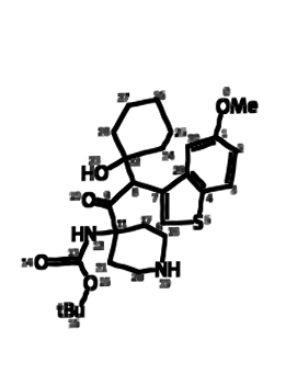 COc1ccc2scc(C(C(=O)C3(NC(=O)OC(C)(C)C)CCNCC3)C3(O)CCCCC3)c2c1